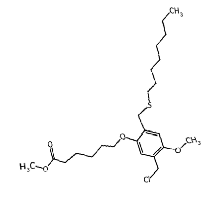 CCCCCCCCSCc1cc(OC)c(CCl)cc1OCCCCCC(=O)OC